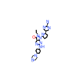 C=CCn1c(=O)c2cnc(Nc3ccc(N4CCN(C)CC4)cc3)nc2n1-c1cccc(-c2cnc(C#N)nc2)n1